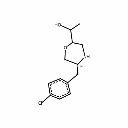 CC(O)C1CN[C@@H](Cc2ccc(Cl)cc2)CO1